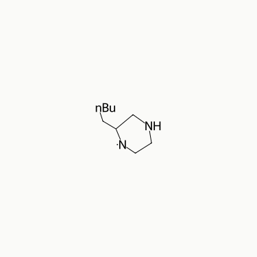 CCCCCC1CNCC[N]1